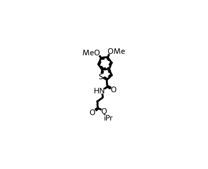 COc1cc2cc(C(=O)NCCC(=O)OC(C)C)sc2cc1OC